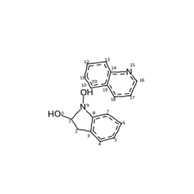 OC1Cc2ccccc2N1O.c1ccc2ncccc2c1